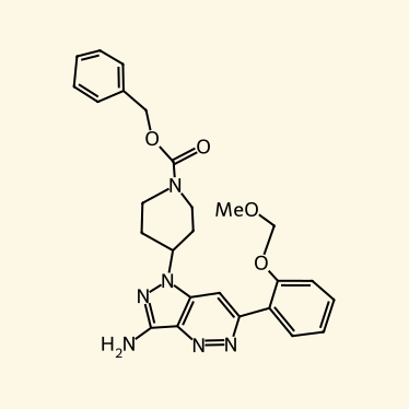 COCOc1ccccc1-c1cc2c(nn1)c(N)nn2C1CCN(C(=O)OCc2ccccc2)CC1